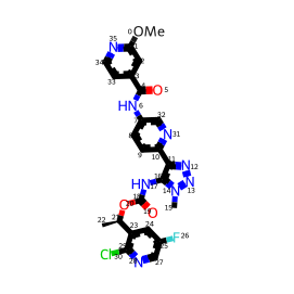 COc1cc(C(=O)Nc2ccc(-c3nnn(C)c3NC(=O)O[C@H](C)c3cc(F)cnc3Cl)nc2)ccn1